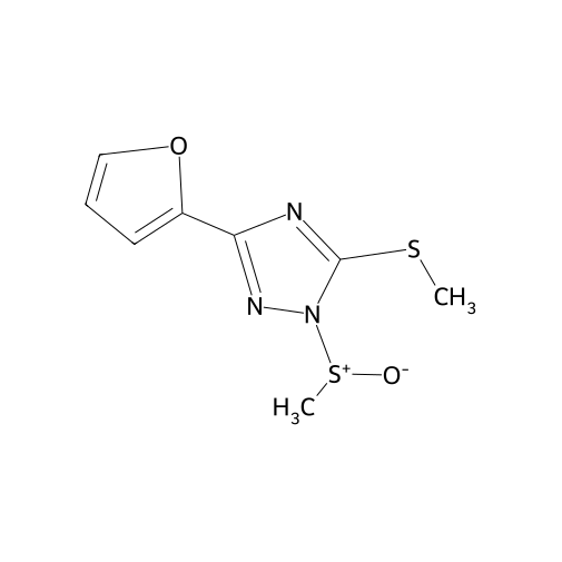 CSc1nc(-c2ccco2)nn1[S+](C)[O-]